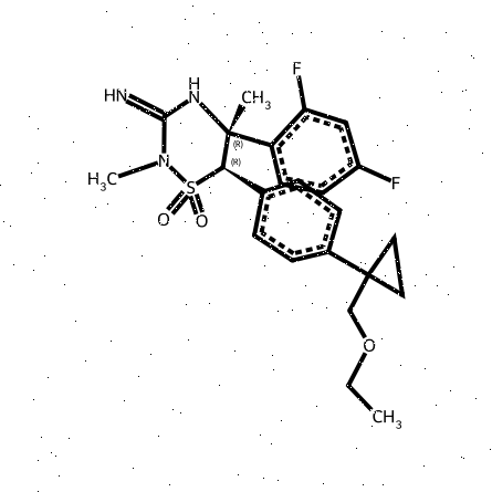 CCOCC1(c2ccc([C@@H]3[C@@](C)(c4ccc(F)cc4F)NC(=N)N(C)S3(=O)=O)cc2)CC1